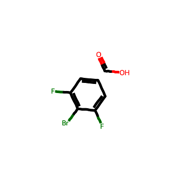 Fc1cccc(F)c1Br.O=CO